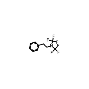 FC(F)(F)N(CCc1ccccc1)C(F)(F)F